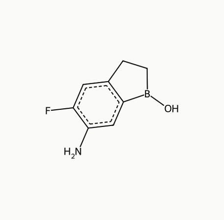 Nc1cc2c(cc1F)CCB2O